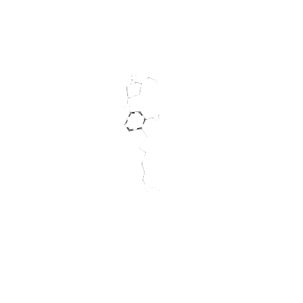 CCCCCCCc1ccc(O[C@H]2CN[C@@H](CO)C2)cc1Cl